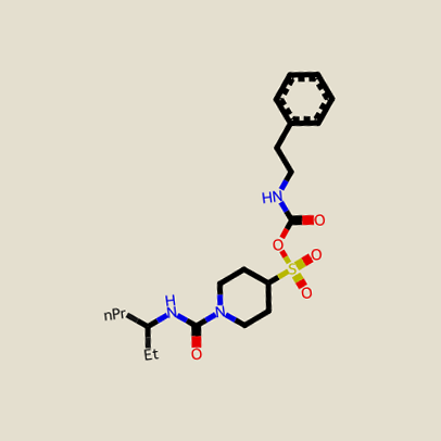 CCCC(CC)NC(=O)N1CCC(S(=O)(=O)OC(=O)NCCc2ccccc2)CC1